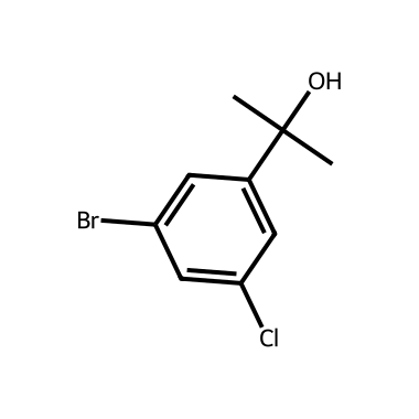 CC(C)(O)c1cc(Cl)cc(Br)c1